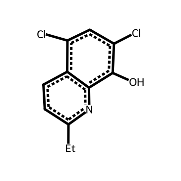 CCc1ccc2c(Cl)cc(Cl)c(O)c2n1